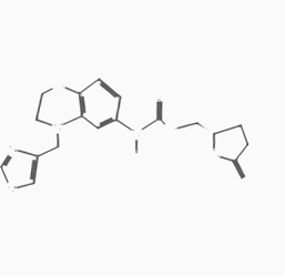 CCN(C(=O)OC[C@H]1CCC(=O)O1)c1ccc2c(c1)N(Cc1c[nH]cn1)CCO2